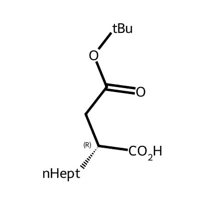 CCCCCCC[C@H](CC(=O)OC(C)(C)C)C(=O)O